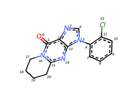 O=c1c2ncn(-c3ccccc3Cl)c2nc2n1CCCC2